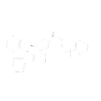 CCCCN(C)C(=O)N1C[C@H](SC(c2ccccc2)(c2ccccc2)c2ccccc2)C[C@H]1COCc1cc(F)c(F)cc1F